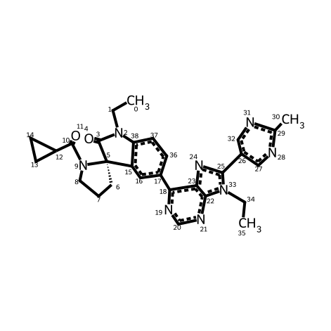 CCN1C(=O)[C@@]2(CCCN2C(=O)C2CC2)c2cc(-c3ncnc4c3nc(-c3cnc(C)nc3)n4CC)ccc21